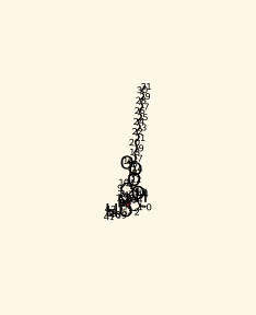 C=C1CC[C@@]2(O)C3CC4C=CC(OCOC(=O)CCCCCCCCCCCCCCC)=C5O[C@@H]1[C@]2(CCN3CC1CC1)C54